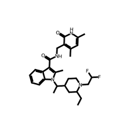 CCC1CC(C(C)n2c(C)c(C(=O)NCc3c(C)cc(C)[nH]c3=O)c3ccccc32)CCN1CC(F)F